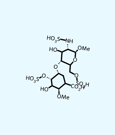 CO[C@@H]1C(C(=O)O)C[C@@H](O[C@H]2C(COS(=O)(=O)O)O[C@H](OC)[C@@H](NS(=O)(=O)O)C2O)[C@@H](OS(=O)(=O)O)C1O